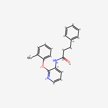 CC(C)(C)c1ccccc1Oc1ncccc1NC(=O)CCc1ccccc1